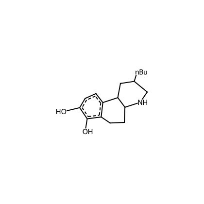 CCCCC1CNC2CCc3c(ccc(O)c3O)C2C1